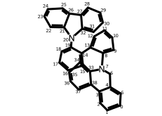 c1ccc2c(c1)CN(c1ccccc1-c1ccccc1-n1c3ccccc3c3ccccc31)c1ccccc1-2